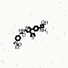 CCC(=O)N(C)[C@H]1CC[C@H](CC(=O)Nc2cc(-c3ccsc3)c(-c3ccc([C@]4(N)C[C@](C)(O)C4)cc3)cn2)CC1